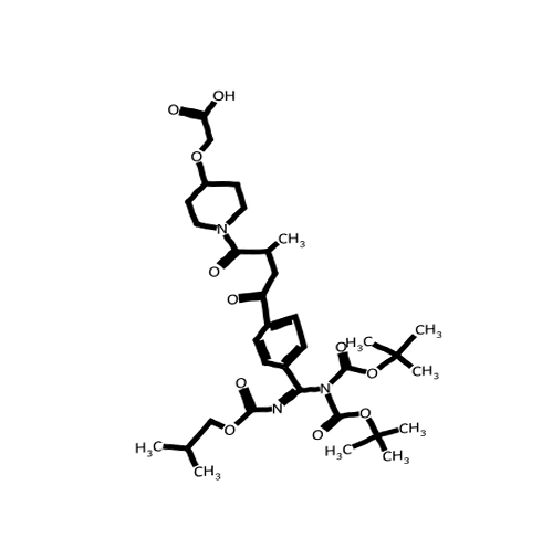 CC(C)COC(=O)N=C(c1ccc(C(=O)CC(C)C(=O)N2CCC(OCC(=O)O)CC2)cc1)N(C(=O)OC(C)(C)C)C(=O)OC(C)(C)C